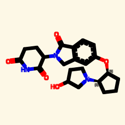 O=C1CCC(N2Cc3cc(O[C@H]4CCC[C@H]4N4CCC(O)C4)ccc3C2=O)C(=O)N1